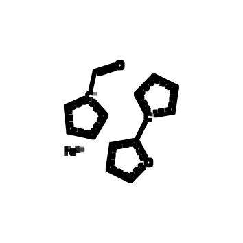 O=C[c-]1cccc1.[Fe+2].c1coc(-[c-]2cccc2)c1